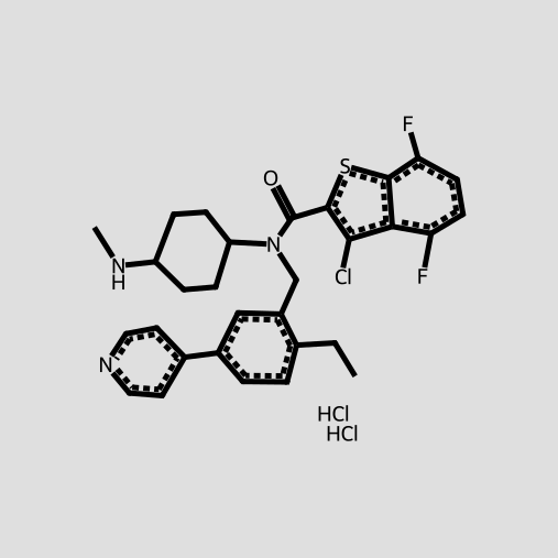 CCc1ccc(-c2ccncc2)cc1CN(C(=O)c1sc2c(F)ccc(F)c2c1Cl)C1CCC(NC)CC1.Cl.Cl